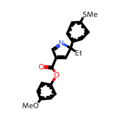 CCC1(c2ccc(SC)cc2)C=C(C(=O)Oc2ccc(OC)cc2)C=N1